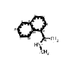 [CH2][C@@H](NC)c1cccc2ccccc12